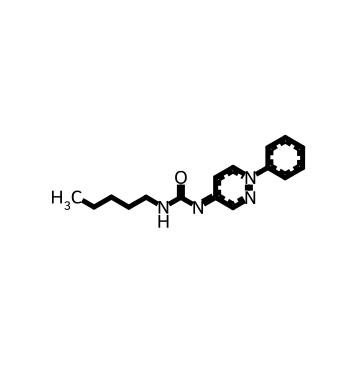 CCCCCNC(=O)N=c1ccn(-c2ccccc2)nc1